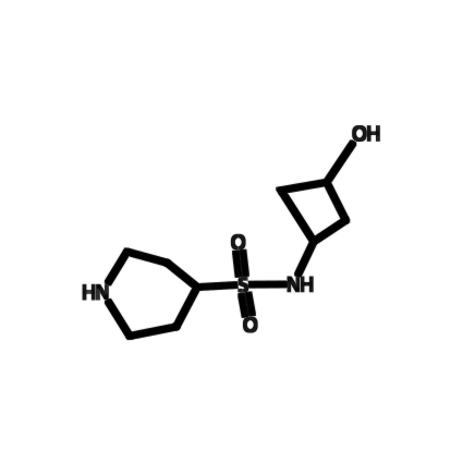 O=S(=O)(NC1CC(O)C1)C1CCNCC1